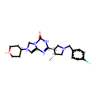 C[C@H]1CN(Cc2ccc(F)cc2)C[C@@H]1C1=NC2=CN(C3CCOCC3)CN2C(=O)N1